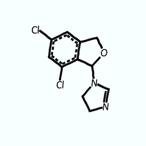 Clc1cc(Cl)c2c(c1)COC2N1C=NCC1